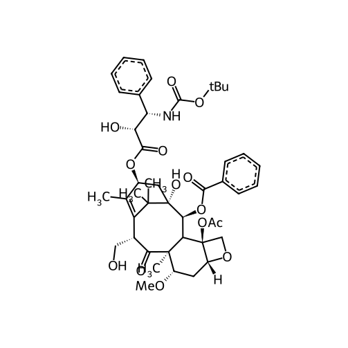 CO[C@H]1C[C@H]2OC[C@@]2(OC(C)=O)C2[C@H](OC(=O)c3ccccc3)[C@]3(O)C[C@H](OC(=O)[C@H](O)[C@@H](NC(=O)OC(C)(C)C)c4ccccc4)C(C)=C([C@@H](CO)C(=O)[C@@]21C)C3(C)C